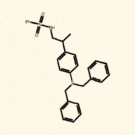 CC(CNS(=O)(=O)C(C)C)c1ccc(N(Cc2ccccc2)Cc2ccccc2)cc1